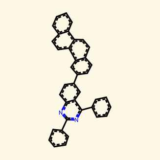 c1ccc(-c2nc(-c3ccccc3)c3cc(-c4ccc5ccc6c7ccccc7ccc6c5c4)ccc3n2)cc1